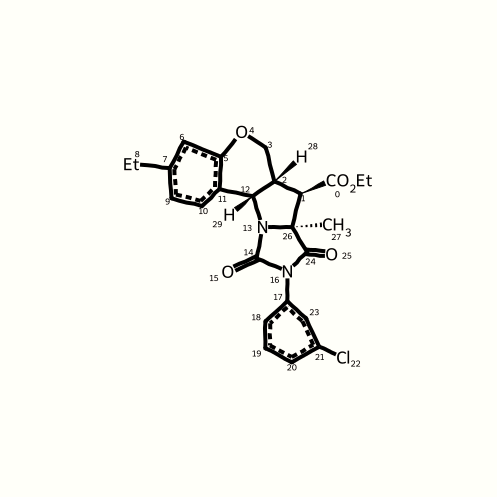 CCOC(=O)[C@@H]1[C@H]2COc3cc(CC)ccc3[C@H]2N2C(=O)N(c3cccc(Cl)c3)C(=O)[C@]12C